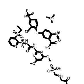 CCS(=O)(=O)c1cccnc1S(=O)(=O)NC(=O)Nc1nc(OC)cc(OC)n1.C[S+](C)C.O=C(O)CNCP(=O)([O-])O.O=C(O)c1cc(Oc2ccc(C(F)(F)F)cc2Cl)ccc1[N+](=O)[O-]